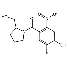 O=C(c1cc(F)c(O)cc1[N+](=O)[O-])N1CCCC1CO